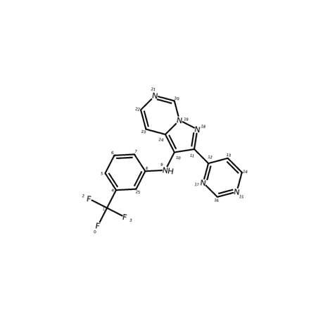 FC(F)(F)c1cccc(Nc2c(-c3ccncn3)nn3cnccc23)c1